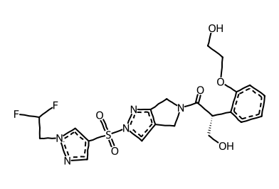 O=C([C@@H](CO)c1ccccc1OCCO)N1Cc2cn(S(=O)(=O)c3cnn(CC(F)F)c3)nc2C1